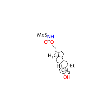 CC[C@H]1CC2C3CC[C@H](CCCOC(=O)NSC)C3(C)CC[C@@H]2C2(C)CC[C@@H](O)CC12